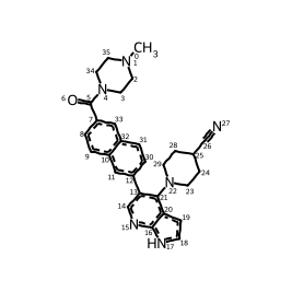 CN1CCN(C(=O)c2ccc3cc(-c4cnc5[nH]ccc5c4N4CCC(C#N)CC4)ccc3c2)CC1